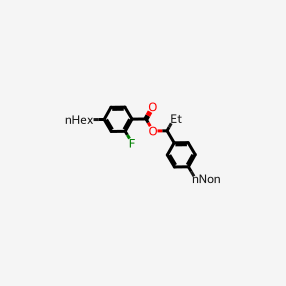 CCCCCCCCCc1ccc(C(CC)OC(=O)c2ccc(CCCCCC)cc2F)cc1